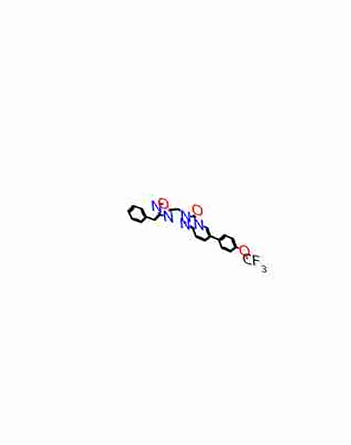 O=c1n(Cc2nc(Cc3ccccc3)no2)nc2ccc(-c3ccc(OC(F)(F)F)cc3)cn12